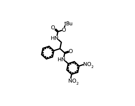 CC(C)(C)OC(=O)NCC(C(=O)Nc1cc([N+](=O)[O-])cc([N+](=O)[O-])c1)c1ccccc1